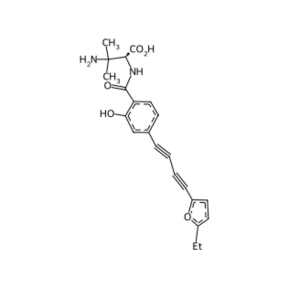 CCc1ccc(C#CC#Cc2ccc(C(=O)N[C@H](C(=O)O)C(C)(C)N)c(O)c2)o1